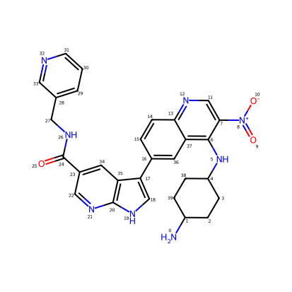 NC1CCC(Nc2c([N+](=O)[O-])cnc3ccc(-c4c[nH]c5ncc(C(=O)NCc6cccnc6)cc45)cc23)CC1